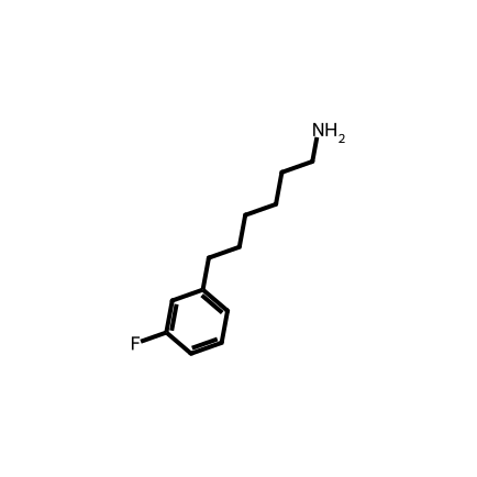 NCCCCCCc1cccc(F)c1